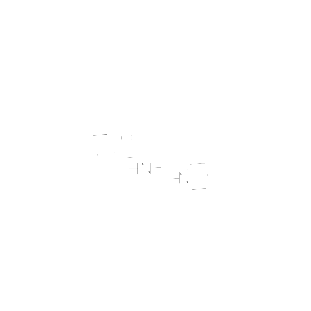 CC(C)S(=O)(=O)CCNCCN1CCOCC1